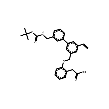 C=Cc1cc(COc2ccccc2CC(=O)O)cc(-c2cccc(CNC(=O)OC(C)(C)C)c2)c1